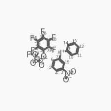 O=[N+]([O-])c1cccc([I+]c2ccccc2)c1.[O]=[Sb]([O-])([O]F)[O]c1c(F)c(F)c(F)c(F)c1F